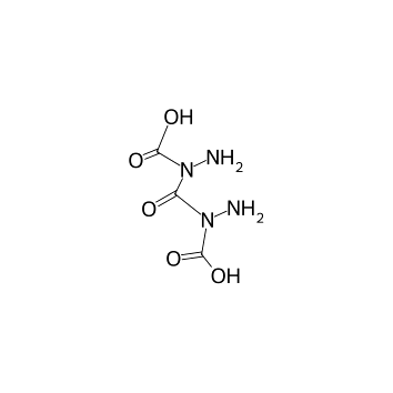 NN(C(=O)O)C(=O)N(N)C(=O)O